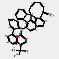 C=C1/C=C\C=C/CC2(c3ccccc31)c1ccccc1-c1c(N(c3ccc(C(C)(C)C)cc3)c3ccccc3-c3ccccc3)cccc12